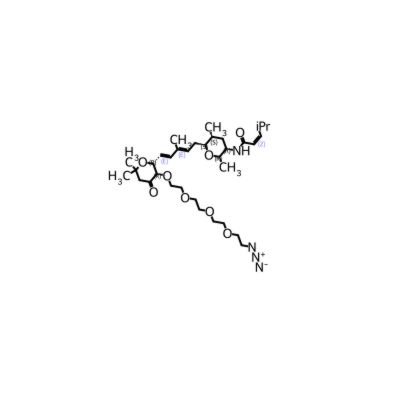 CC(/C=C/[C@H]1OC(C)(C)CC(=O)[C@@H]1OCCOCCOCCOCCN=[N+]=[N-])=C\C[C@@H]1O[C@H](C)[C@H](NC(=O)/C=C\C(C)C)C[C@@H]1C